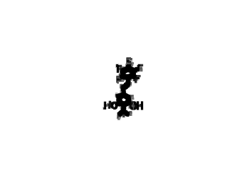 CC(C)c1c(O)cc(C=Cc2c(F)c(F)c(F)c(F)c2F)cc1O